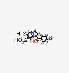 Cc1cn2ccc(C(O)c3ccc(Br)cc3)c2cc1C(=O)O